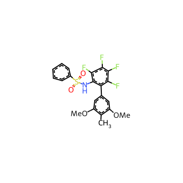 COc1cc(-c2c(F)c(F)c(F)c(F)c2NS(=O)(=O)c2ccccc2)cc(OC)c1C